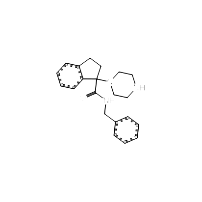 O=C(NCc1ccccc1)C1(N2CCNCC2)CCc2ccccc21